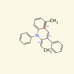 C\C=C/C=C(\C(=C/C)N(c1ccccc1)c1ccccc1)c1ccccc1